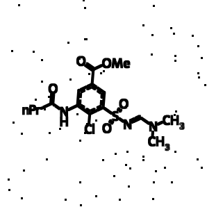 CCCC(=O)Nc1cc(C(=O)OC)cc(S(=O)(=O)N=CN(C)C)c1Cl